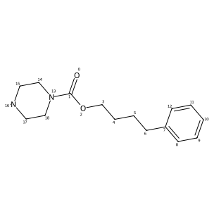 O=C(OCCCCc1ccccc1)N1CC[N]CC1